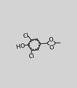 CC1OC(c2cc(Cl)c(O)c(Cl)c2)O1